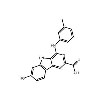 Cc1cccc(Nc2nc(C(=O)O)cc3c2[nH]c2cc(O)ccc23)c1